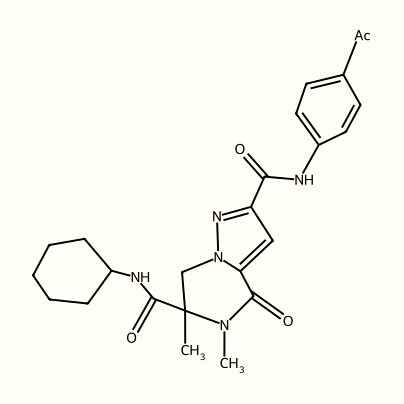 CC(=O)c1ccc(NC(=O)c2cc3n(n2)CC(C)(C(=O)NC2CCCCC2)N(C)C3=O)cc1